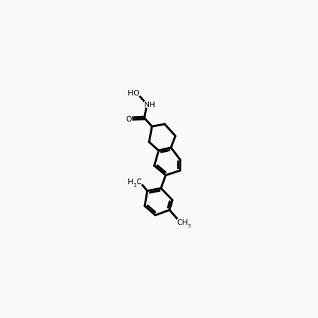 Cc1ccc(C)c(-c2ccc3c(c2)CC(C(=O)NO)CC3)c1